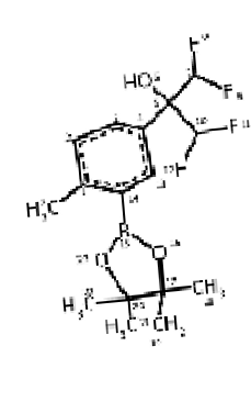 Cc1ccc(C(O)(C(F)F)C(F)F)cc1B1OC(C)(C)C(C)(C)O1